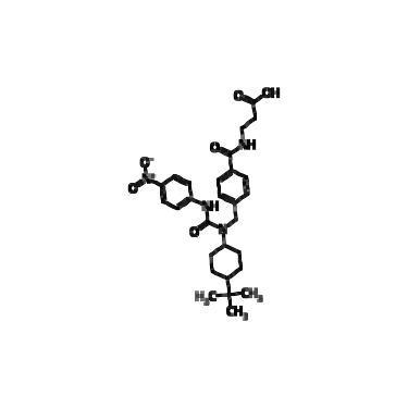 CC(C)(C)C1CCC(N(Cc2ccc(C(=O)NCCC(=O)O)cc2)C(=O)Nc2ccc([N+](=O)[O-])cc2)CC1